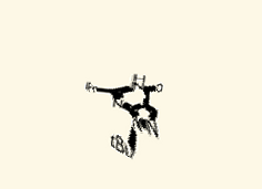 CC(C)c1nc2c(cnn2C(C)(C)C)c(=O)[nH]1